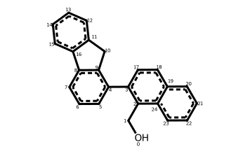 OCc1c(-c2cccc3c2Cc2ccccc2-3)ccc2ccccc12